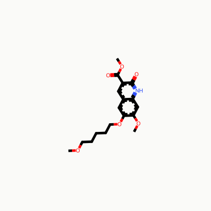 COCCCCCOc1cc2cc(C(=O)OC)c(=O)[nH]c2cc1OC